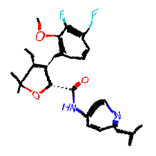 COc1c([C@H]2[C@H](C(=O)Nc3ccc(C(C)C)nc3)OC(C)(C)[C@H]2C)ccc(F)c1F